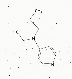 CCCN(CC)c1ccncc1